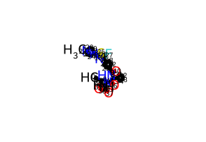 C#CC1CN(C(=O)[C@@H](NC(=O)c2ccc(-c3nc(N4CCN(C)CC4)sc3F)cc2)C2CCCC2)[C@@H]2C(=O)CO[C@H]12